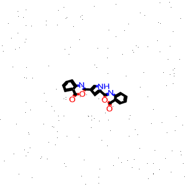 O=c1oc(-c2c[nH]c(-c3nc4ccccc4c(=O)o3)c2)nc2ccccc12